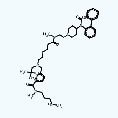 CNCCCN(C)C(=O)c1ccc(CN(CCCCCC(=O)N(C)CCN2CCC(N(C(=O)O)c3ccccc3-c3ccccc3)CC2)CC(C)(C)C)s1